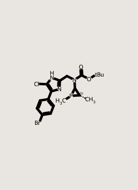 C[C@H]1C(N(Cc2nc(-c3ccc(Br)cc3)c(Cl)[nH]2)C(=O)OC(C)(C)C)P1C